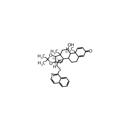 CC1(C)O[C@@H]2CC3C4CCC5=CC(=O)C=CC5(C)C4[C@@H](O)CC3(C)[C@]2(C(=O)CSc2nccc3ccccc23)O1